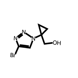 OCC1(n2cc(Br)nn2)CC1